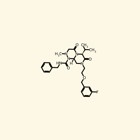 CC(C)[C@H]1C(=O)N(CCOCc2cccc(F)c2)C[C@H]2N1C(=O)CN(C)N2C(=O)NCc1ccccc1